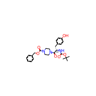 CC(C)(C)OC(=O)N[C@@H](Cc1ccc(O)cc1)C(=O)N1CCN(C(=O)OCc2ccccc2)CC1